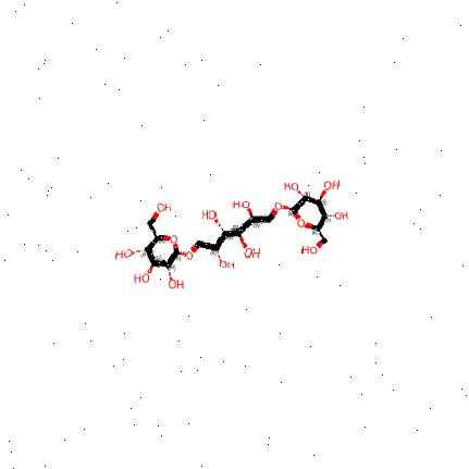 OC[C@H]1O[C@@H](OC[C@@H](O)[C@H](O)[C@H](O)[C@@H](O)CO[C@@H]2O[C@H](CO)[C@@H](O)[C@H](O)[C@H]2O)[C@H](O)[C@@H](O)[C@@H]1O